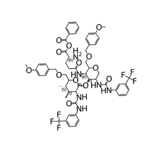 COc1ccc(COCC2O[C@@H](O[C@@H]3C(NC(=O)Nc4cccc(C(F)(F)F)c4)COC(COCc4ccc(OC)cc4)[C@@H]3NC(=O)CC[C@@H](N)C(=O)OC(=O)c3ccccc3)C(NC(=O)Nc3cccc(C(F)(F)F)c3)[C@@H](C)[C@@H]2C)cc1